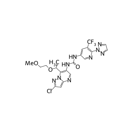 COCCO[C@@H](C)c1c(NC(=O)Nc2cnc(-n3nccn3)c(C(F)(F)F)c2)cnc2cc(Cl)nn12